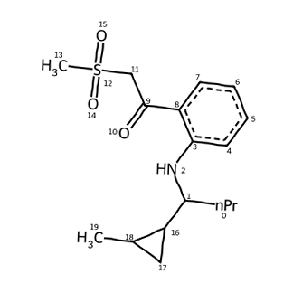 CCCC(Nc1ccccc1C(=O)CS(C)(=O)=O)C1CC1C